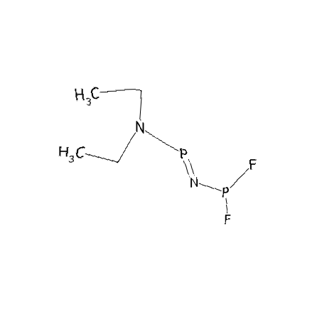 CCN(CC)/P=N/P(F)F